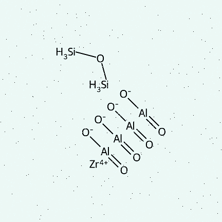 [O]=[Al][O-].[O]=[Al][O-].[O]=[Al][O-].[O]=[Al][O-].[SiH3]O[SiH3].[Zr+4]